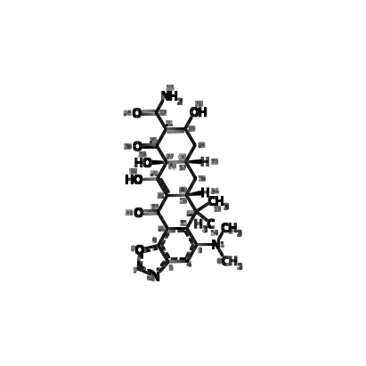 CN(C)c1cc2ncoc2c2c1C(C)(C)[C@H]1C[C@H]3CC(O)=C(C(N)=O)C(=O)[C@@]3(O)C(O)=C1C2=O